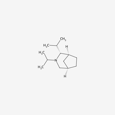 CC(C)[C@@H]1[C@H]2CC[C@H](C2)CN1C(C)C